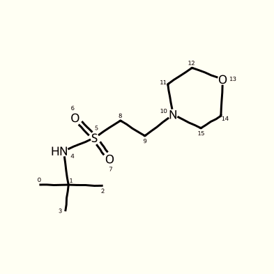 CC(C)(C)NS(=O)(=O)CCN1CCOCC1